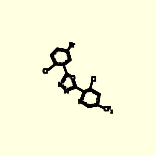 FC(F)(F)c1cnc(-c2nnc(-c3cc(Br)ccc3Cl)o2)c(Cl)c1